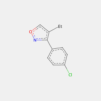 [CH2]Cc1conc1-c1ccc(Cl)cc1